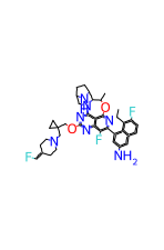 CCc1c(F)ccc2cc(N)cc(-c3nc4c5c(nc(OCC6(CN7CCC(=CF)CC7)CC6)nc5c3F)N3CC5CCC(N5)C3C(C)O4)c12